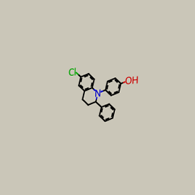 Oc1ccc(N2c3ccc(Cl)cc3CCC2c2ccccc2)cc1